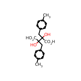 Cc1ccc(CC(O)(C(=O)O)C(O)(Cc2ccc(C)cc2)C(=O)O)cc1